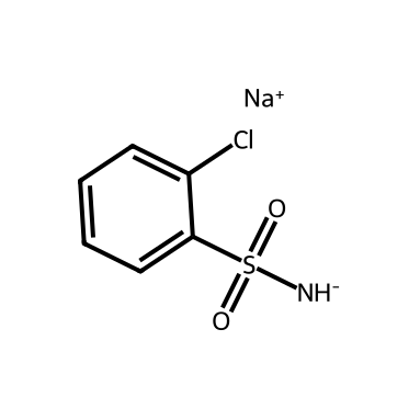 [NH-]S(=O)(=O)c1ccccc1Cl.[Na+]